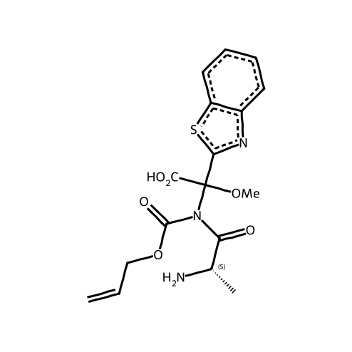 C=CCOC(=O)N(C(=O)[C@H](C)N)C(OC)(C(=O)O)c1nc2ccccc2s1